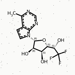 Cc1ncnc2c1ccn2[C@@H]1O[C@H]([C@H](O)C(F)(F)F)[C@@H](O)[C@H]1O